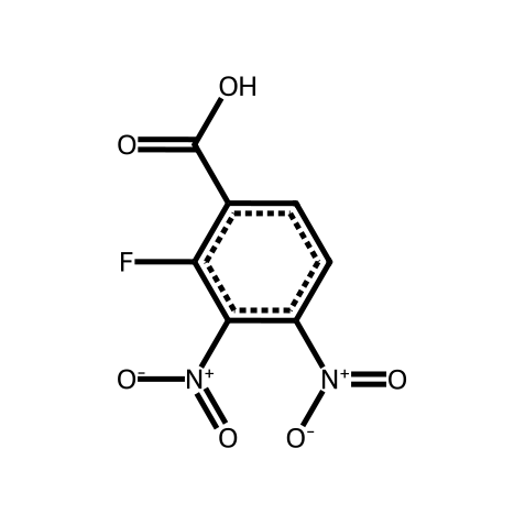 O=C(O)c1ccc([N+](=O)[O-])c([N+](=O)[O-])c1F